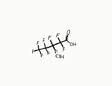 Cl.O=C(O)C(F)(F)C(F)(F)C(F)(F)C(F)(F)F